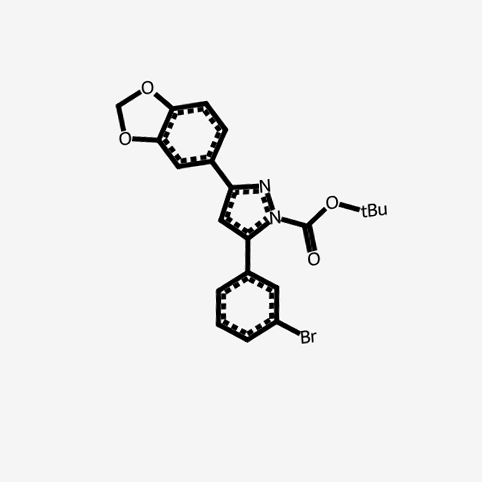 CC(C)(C)OC(=O)n1nc(-c2ccc3c(c2)OCO3)cc1-c1cccc(Br)c1